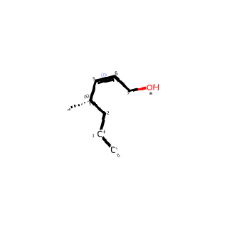 [CH2-][CH+]C[C@H](C)/C=C\CO